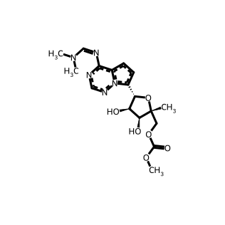 COC(=O)OC[C@@]1(C)O[C@@H](c2ccc3c(/N=C\N(C)C)ncnn23)[C@H](O)[C@@H]1O